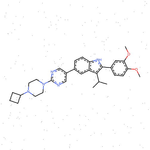 COc1ccc(-c2[nH]c3ccc(-c4cnc(N5CCN(C6CCC6)CC5)nc4)cc3c2C(C)C)cc1OC